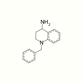 NC1CCN(Cc2ccccc2)c2ccccc21